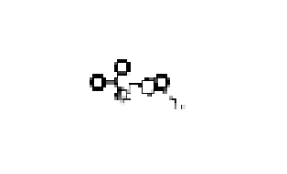 O=C(O)COc1cccc2c1CCC(Cn1nncc1C(c1ccccc1)c1ccccc1)C2